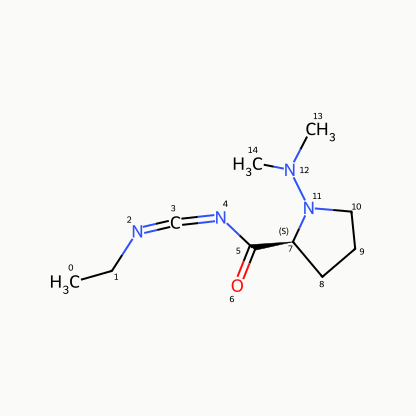 CCN=C=NC(=O)[C@@H]1CCCN1N(C)C